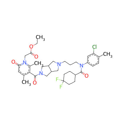 CCOC(=O)Cn1c(C)c(C(=O)N2CC3CN(CCCN(C(=O)C4CCC(F)(F)CC4)c4ccc(C)c(Cl)c4)CC3C2)c(C)cc1=O